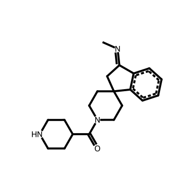 CN=C1CC2(CCN(C(=O)C3CCNCC3)CC2)c2ccccc21